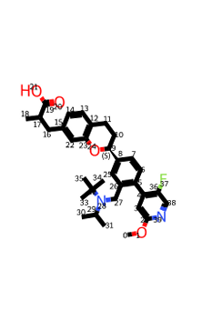 COc1cc(-c2ccc([C@@H]3CCc4ccc(CC(C)C(=O)O)cc4O3)cc2CN(C(C)C)C(C)(C)C)c(F)cn1